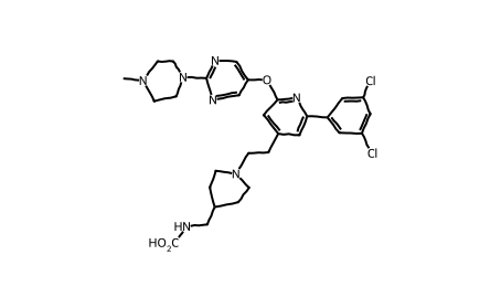 CN1CCN(c2ncc(Oc3cc(CCN4CCC(CNC(=O)O)CC4)cc(-c4cc(Cl)cc(Cl)c4)n3)cn2)CC1